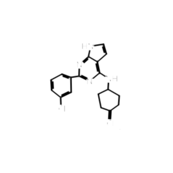 C=C1CCC(Nc2nc(-c3cccc(Cl)c3)nc3[nH]ccc23)CC1